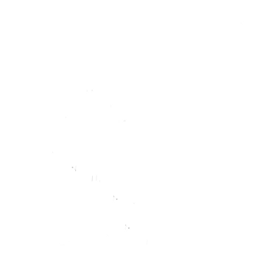 CCCCCCCCCCCCCCCCCCN(CCO)C(=O)N(C)C.C[N+](C)(C)CC(O)P(=O)(O)O